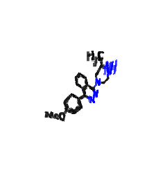 COc1ccc(-c2nnc(N3CCNC(C)C3)c3ccccc23)cc1